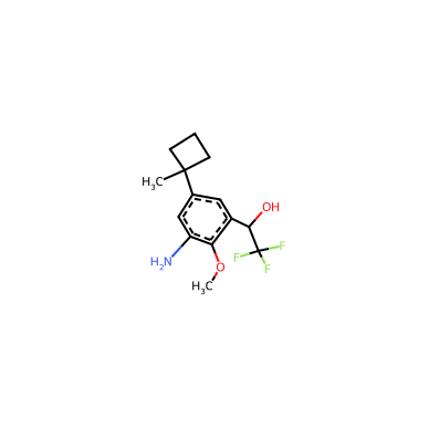 COc1c(N)cc(C2(C)CCC2)cc1C(O)C(F)(F)F